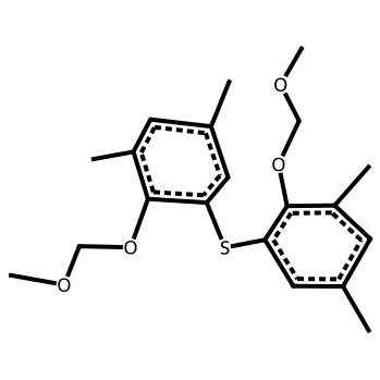 COCOc1c(C)cc(C)cc1Sc1cc(C)cc(C)c1OCOC